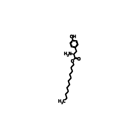 CCCCCCCCCCCCOC(=O)[C@@H](N)Cc1ccc(O)cc1